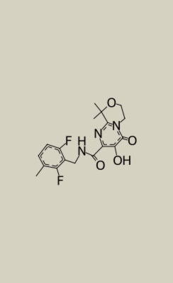 Cc1ccc(F)c(CNC(=O)c2nc3n(c(=O)c2O)CCOC3(C)C)c1F